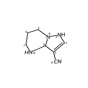 N#CC1=CNN2CCCNC12